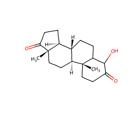 C[C@]12CCC(=O)C(O)C1CC[C@@H]1[C@@H]2CC[C@]2(C)C(=O)CC[C@@H]12